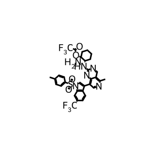 Cc1ccc(S(=O)(=O)n2cc(-c3cnc(C)c4cnc(N[C@H]5CCCC[C@@]5(N)OC(=O)C(F)(F)F)nc34)c3ccc(C(F)(F)F)cc32)cc1